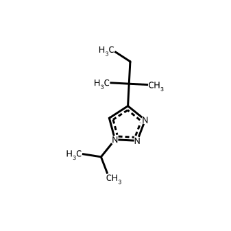 CCC(C)(C)c1cn(C(C)C)nn1